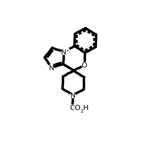 O=C(O)N1CCC2(CC1)Oc1ccccc1[N+]1C=CN=C12